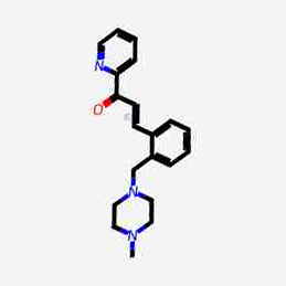 CN1CCN(Cc2ccccc2/C=C/C(=O)c2ccccn2)CC1